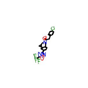 O=C(Cc1ccc(Cl)cc1)N(Cc1ccc(-c2noc(C(F)(F)F)n2)cc1)CC1CC1